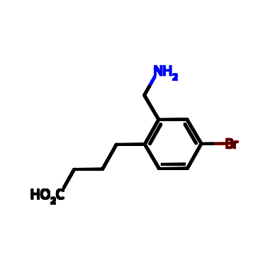 NCc1cc(Br)ccc1CCCC(=O)O